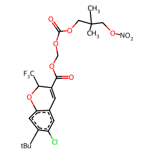 CC(C)(COC(=O)OCOC(=O)C1=Cc2cc(Cl)c(C(C)(C)C)cc2OC1C(F)(F)F)CO[N+](=O)[O-]